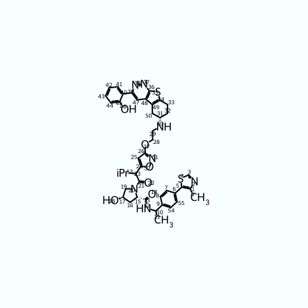 Cc1ncsc1-c1ccc(C(C)NC(=O)[C@@H]2C[C@@H](O)CN2C(=O)C(c2cc(OCCN[C@H]3CCc4sc5nnc(-c6ccccc6O)cc5c4C3)no2)C(C)C)cc1